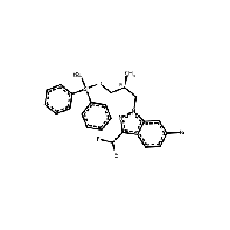 C[C@H](CO[Si](c1ccccc1)(c1ccccc1)C(C)(C)C)Cn1nc(C(F)F)c2ccc(Br)cc21